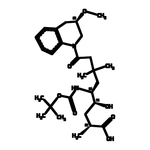 CO[C@@H]1Cc2ccccc2N(C(=O)CC(C)(C)C[C@H](NC(=O)OC(C)(C)C)[C@@H](O)C[C@@H](C)C(=O)O)C1